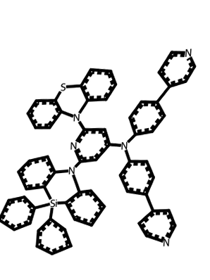 c1ccc([Si]2(c3ccccc3)c3ccccc3N(c3cc(N(c4ccc(-c5ccncc5)cc4)c4ccc(-c5ccncc5)cc4)cc(N4c5ccccc5Sc5ccccc54)n3)c3ccccc32)cc1